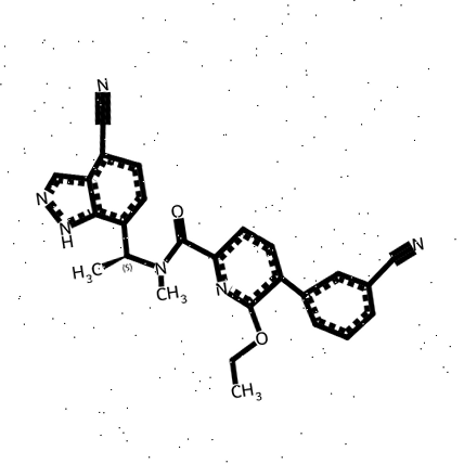 CCOc1nc(C(=O)N(C)[C@@H](C)c2ccc(C#N)c3cn[nH]c23)ccc1-c1cccc(C#N)c1